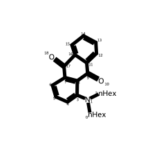 CCCCCCN(CCCCCC)c1cccc2c1C(=O)c1ccccc1C2=O